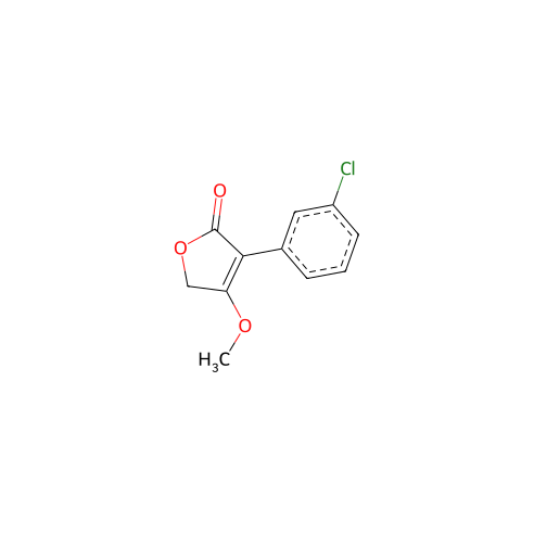 COC1=C(c2cccc(Cl)c2)C(=O)OC1